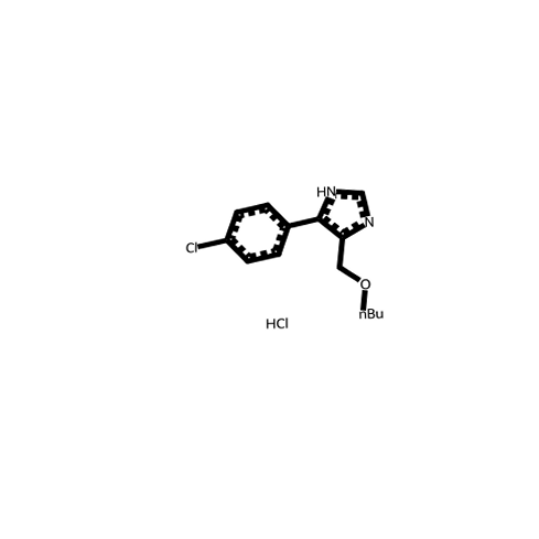 CCCCOCc1nc[nH]c1-c1ccc(Cl)cc1.Cl